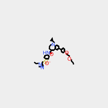 CCCCOCCOc1ccc(-c2ccc3c(c2)C=C(C(=O)Nc2ccc([S+]([O-])Cc4cncn4CCC)cc2)CCCN3CC2CC2)cc1